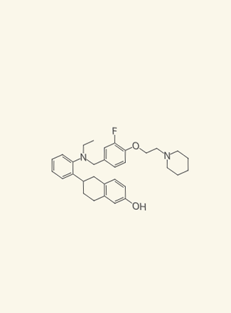 CCN(Cc1ccc(OCCN2CCCCC2)c(F)c1)c1ccccc1C1CCc2cc(O)ccc2C1